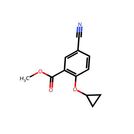 COC(=O)c1cc(C#N)ccc1OC1CC1